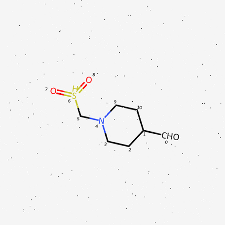 O=CC1CCN(C[SH](=O)=O)CC1